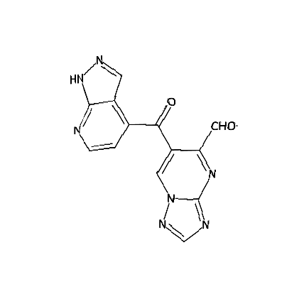 O=[C]c1nc2ncnn2cc1C(=O)c1ccnc2[nH]ncc12